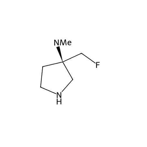 CN[C@]1(CF)CCNC1